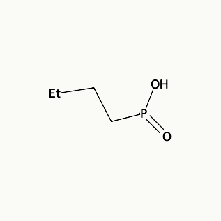 CCCC[P](=O)O